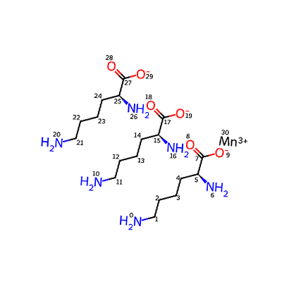 NCCCC[C@H](N)C(=O)[O-].NCCCC[C@H](N)C(=O)[O-].NCCCC[C@H](N)C(=O)[O-].[Mn+3]